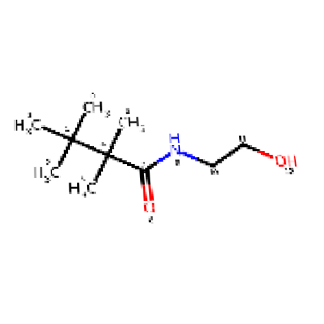 CC(C)(C)C(C)(C)C(=O)NCCO